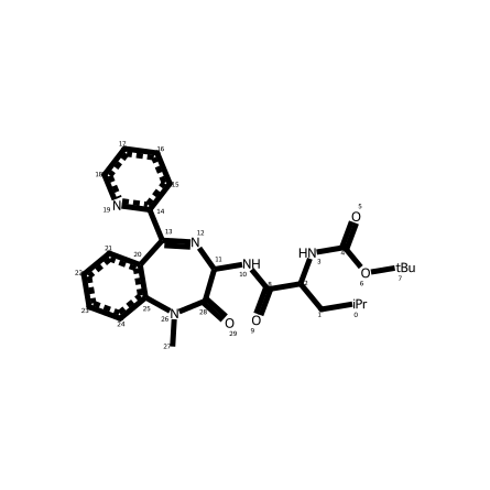 CC(C)CC(NC(=O)OC(C)(C)C)C(=O)NC1N=C(c2ccccn2)c2ccccc2N(C)C1=O